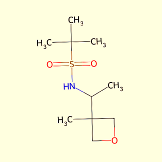 CC(NS(=O)(=O)C(C)(C)C)C1(C)COC1